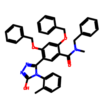 Cc1ccccc1-n1c(O)nnc1-c1cc(C(=O)N(C)Cc2ccccc2)c(OCc2ccccc2)cc1OCc1ccccc1